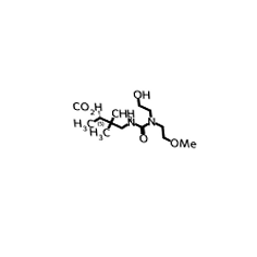 COCCN(CCO)C(=O)NCC(C)(C)[C@H](C)C(=O)O